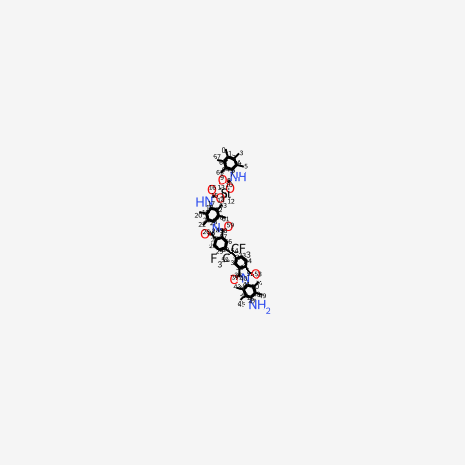 Cc1c(C)c(C)c(NC(=O)O[Si](C)(C)OC(=O)Nc2c(C)c(C)c(N3C(=O)c4ccc(C(c5ccc6c(c5)C(=O)N(c5c(C)c(C)c(N)c(C)c5C)C6=O)(C(F)(F)F)C(F)(F)F)cc4C3=O)c(C)c2C)c(C)c1C